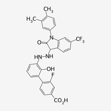 Cc1ccc(N2C(=O)C(NNc3cccc(-c4ccc(C(=O)O)cc4F)c3O)c3ccc(C(F)(F)F)cc32)cc1C